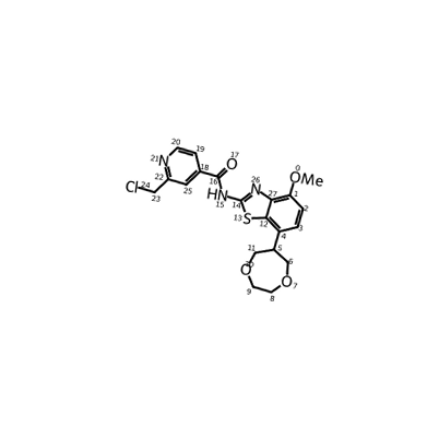 COc1ccc(C2COCCOC2)c2sc(NC(=O)c3ccnc(CCl)c3)nc12